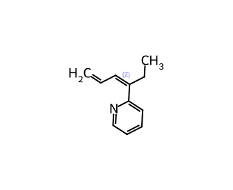 C=C/C=C(/CC)c1ccccn1